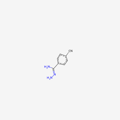 N#Cc1ccc(C(N)=NN)cc1